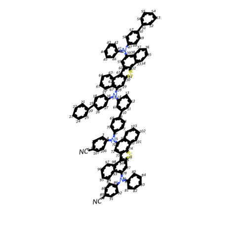 N#Cc1ccc(N(c2ccc(-c3cccc(N(c4ccc(-c5ccccc5)cc4)c4cc5sc6c7ccccc7c(N(c7ccccc7)c7ccc(-c8ccccc8)cc7)cc6c5c5ccccc45)c3)cc2)c2cc3c(sc4cc(N(c5ccccc5)c5ccc(C#N)cc5)c5ccccc5c43)c3ccccc23)cc1